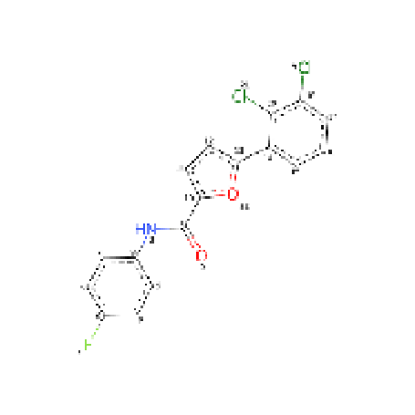 O=C(Nc1ccc(F)cc1)c1ccc(-c2cccc(Cl)c2Cl)o1